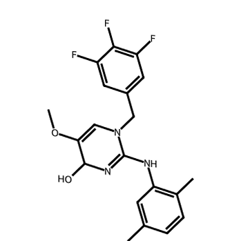 COC1=CN(Cc2cc(F)c(F)c(F)c2)C(Nc2cc(C)ccc2C)=NC1O